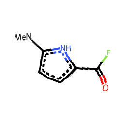 CNc1ccc(C(=O)F)[nH]1